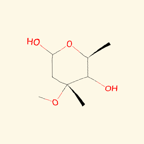 CO[C@]1(C)CC(O)O[C@@H](C)C1O